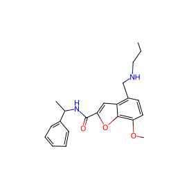 CCCNCc1ccc(OC)c2oc(C(=O)NC(C)c3ccccc3)cc12